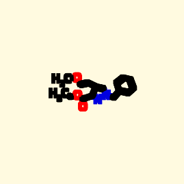 CCOC(=O)c1nn(Cc2ccccc2)cc1/C=C/OC